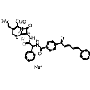 CC(=O)OCC1=C(C(=O)[O-])N2C(=O)[C@@H](NC(=O)C(NC(=O)c3ccc(C(=O)C=CC=Cc4ccccc4)cc3)c3ccccc3)[C@H]2SC1.[Na+]